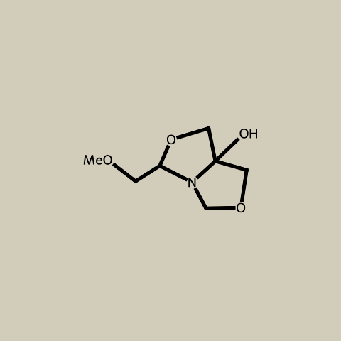 COCC1OCC2(O)COCN12